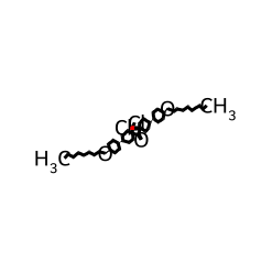 CCCCCCCCO[C@H]1CC[C@H](C2CCC3(CC2)C(=O)C2(CCC([C@H]4CC[C@H](OCCCCCCCC)CC4)CC2)C3(Cl)Cl)CC1